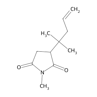 C=CCC(C)(C)C1CC(=O)N(C)C1=O